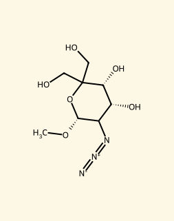 CO[C@@H]1OC(CO)(CO)[C@H](O)[C@H](O)C1N=[N+]=[N-]